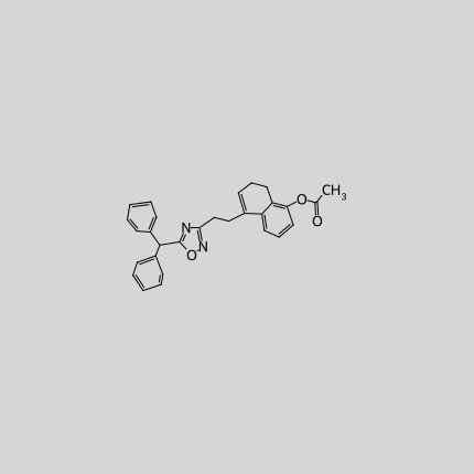 CC(=O)Oc1cccc2c1CCC=C2CCc1noc(C(c2ccccc2)c2ccccc2)n1